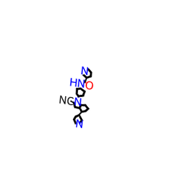 N#Cc1cc2c(-c3cccnc3)cccc2n1-c1ccc(NC(=O)c2cccnc2)cc1